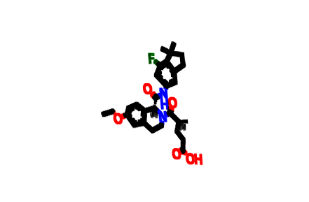 CCOc1ccc2c(c1)CCN(C(=O)[C@@H](C)CCC(=O)O)[C@H]2C(=O)Nc1cc(F)c2c(c1)CCC2(C)C